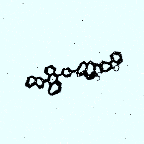 c1ccc2cc(-c3c4ccccc4c(-c4ccc(-c5ccc6cc7c(cc6c5)sc5cc6oc8ccccc8c6cc57)cc4)c4ccccc34)ccc2c1